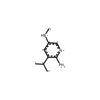 CBc1cnc(P)c(C(C)C)c1